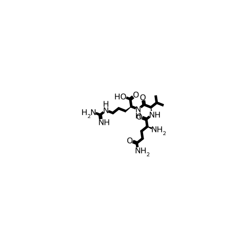 CC(C)[C@H](NC(=O)[C@@H](N)CCC(N)=O)C(=O)N[C@@H](CCCNC(=N)N)C(=O)O